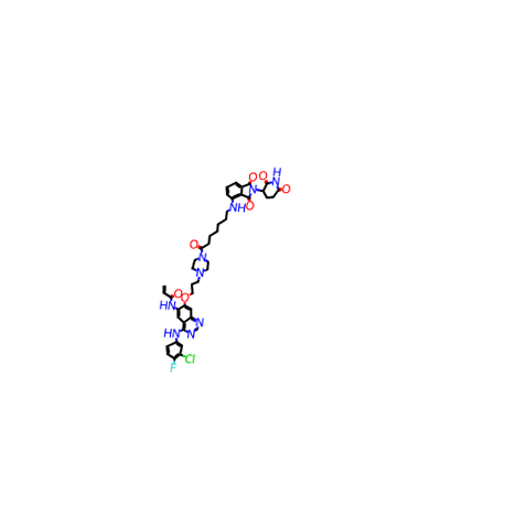 C=CC(=O)Nc1cc2c(Nc3ccc(F)c(Cl)c3)ncnc2cc1OCCCN1CCN(C(=O)CCCCCCNc2cccc3c2C(=O)N(C2CCC(=O)NC2=O)C3=O)CC1